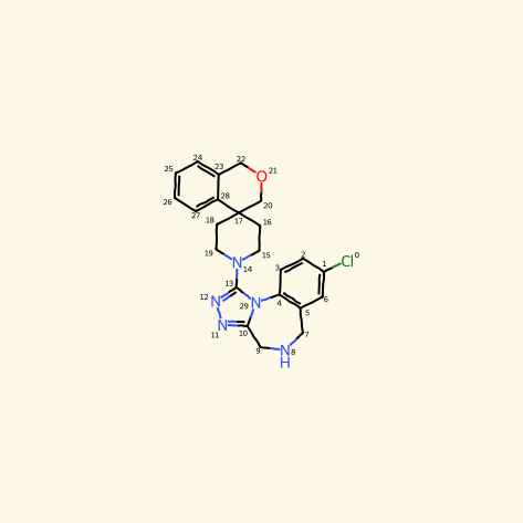 Clc1ccc2c(c1)CNCc1nnc(N3CCC4(CC3)COCc3ccccc34)n1-2